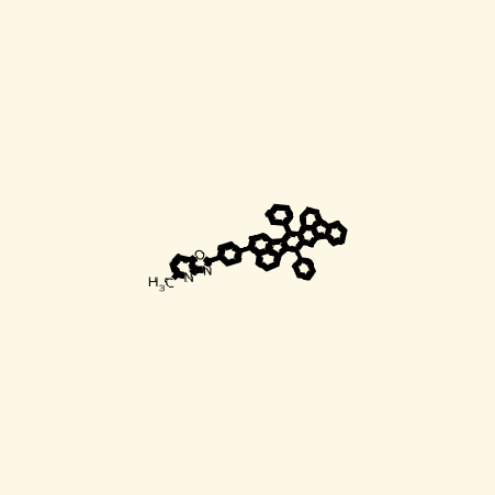 Cc1ccc2oc(-c3ccc(-c4ccc5c6c(-c7ccccc7)c7c(cc8c9ccccc9c9cccc7c98)c(-c7ccccc7)c6c6cccc4c65)cc3)nc2n1